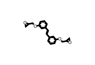 C(=Cc1cccc(OCC2CO2)c1)c1cccc(OCC2CO2)c1